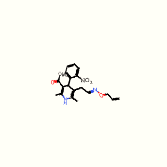 C=CCON=CCC1=C(C)NC(C)=C(C(=O)OC)C1c1ccccc1[N+](=O)[O-]